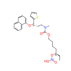 CC[C@H](CCCCOC(=O)N(C)CC[C@H](Oc1cccc2ccccc12)c1cccs1)O[N+](=O)O